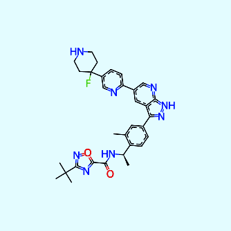 Cc1cc(-c2n[nH]c3ncc(-c4ccc(C5(F)CCNCC5)cn4)cc23)ccc1[C@@H](C)NC(=O)c1nc(C(C)(C)C)no1